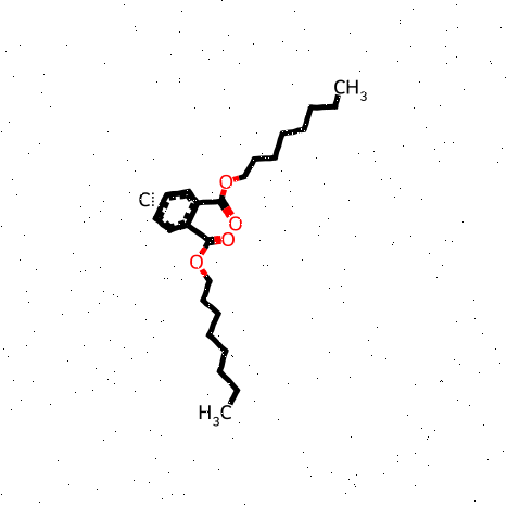 CCCCCCCCOC(=O)c1ccccc1C(=O)OCCCCCCCC.[C]